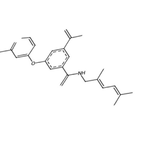 C=C(C)/C=C(\C=C/C)Oc1cc(C(=C)C)cc(C(=C)NC/C(C)=C/C=C(C)C)c1